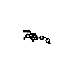 COC[C@@H](Nc1ncnc2cc(-c3ccc(CN4CCN(C)CC4)cc3)sc12)c1ccc(F)cc1